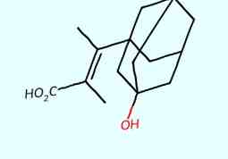 CC(C(=O)O)=C(C)C12CC3CC(CC(O)(C3)C1)C2